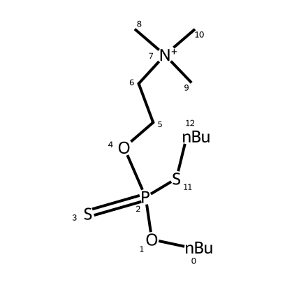 CCCCOP(=S)(OCC[N+](C)(C)C)SCCCC